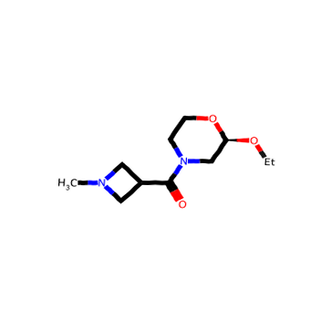 CCO[C@H]1CN(C(=O)C2CN(C)C2)CCO1